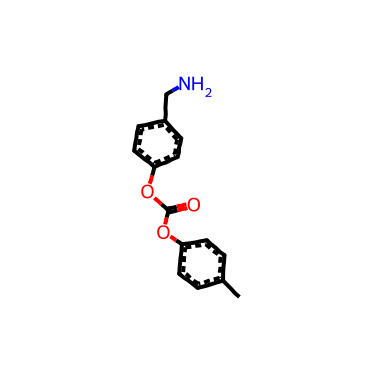 Cc1ccc(OC(=O)Oc2ccc(CN)cc2)cc1